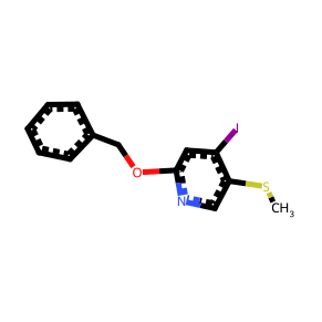 CSc1cnc(OCc2ccccc2)cc1I